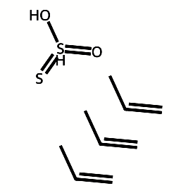 C=CC.C=CC.C=CC.O=[SH](O)=S